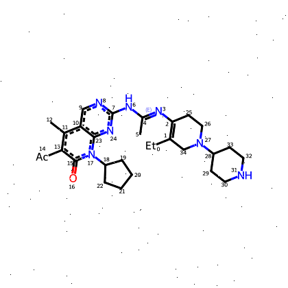 CCC1=C(/N=C(\C)Nc2ncc3c(C)c(C(C)=O)c(=O)n(C4CCCC4)c3n2)CCN(C2CCNCC2)C1